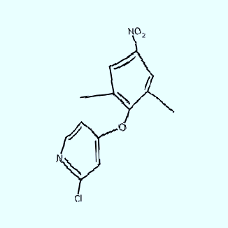 Cc1cc([N+](=O)[O-])cc(C)c1Oc1ccnc(Cl)c1